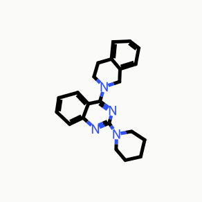 c1ccc2c(c1)CCN(c1nc(N3CCCCC3)nc3ccccc13)C2